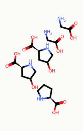 NCC(=O)O.NCC(=O)O.O=C(O)[C@@H]1CC(O)CN1.O=C(O)[C@@H]1CC(O)CN1.O=C(O)[C@@H]1CCCN1